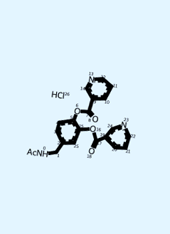 CC(=O)NCc1ccc(OC(=O)c2cccnc2)c(OC(=O)c2cccnc2)c1.Cl